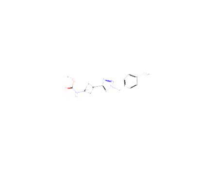 COc1ccc(Cn2cc(C34CC(NC(=O)OC(C)(C)C)(C3)C4)nn2)cc1